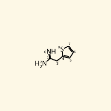 N=C(N)[CH]c1cccs1